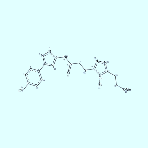 CCCc1ccc(-c2nnc(NC(=O)CSc3nnc(CCOC)n3CC)s2)cc1